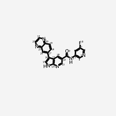 O=C(Nc1cncc(F)c1)c1cnc2[nH]cc(-c3ccc4nccnc4c3)c2c1